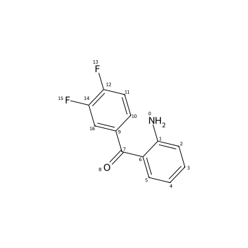 Nc1ccccc1C(=O)c1ccc(F)c(F)c1